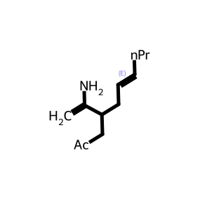 C=C(N)C(C/C=C/CCC)CC(C)=O